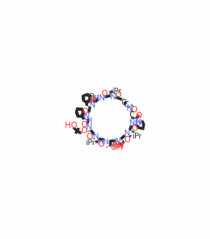 CC[C@H](C)C1NC(=O)[C@H](CC(C)C)N(C)C(=O)CCCN(C)C(=O)C[C@@H](C(=O)N2CCCCC2)NC(=O)[C@H](CC(C)C)N(C)C(=O)[C@H](CC(C)C)N(C)C(O)[C@H]([C@@H](C)O)NC(=O)[C@H](CC(C)C)N(C)C(=O)[C@H](COCC(C)(C)CO)NC(=O)[C@H](Cc2ccccc2)N(C)C(=O)[C@H](Cc2ccccc2)N(C)C1=O